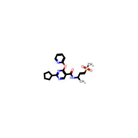 CC(C=CS(C)(=O)=O)NC(=O)c1cnc(C2CCCC2)nc1Oc1ccccn1